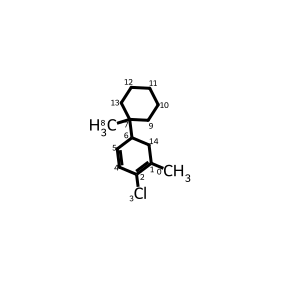 CC1=C(Cl)C=CC(C2(C)CCCCC2)C1